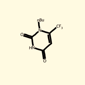 CCCCn1c(C(F)(F)F)cc(=O)[nH]c1=O